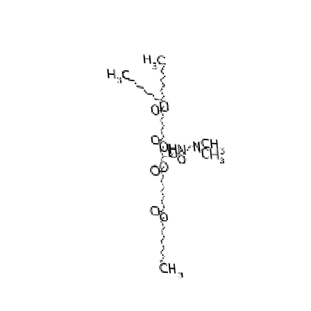 CCCCCCCCCCOC(=O)CCCCCCCC(=O)OCC(COC(=O)CCCCCC(=O)OC(CCCCCCCC)CCCCCCCC)COC(=O)NCCN(CC)CC